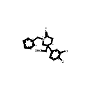 O=CCC1(c2ccc(Cl)c(Cl)c2)CCC(=O)N(Cc2ccccc2)C1